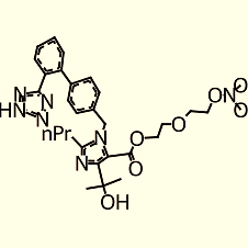 CCCc1nc(C(C)(C)O)c(C(=O)OCCOCCON(O)O)n1Cc1ccc(-c2ccccc2-c2nn[nH]n2)cc1